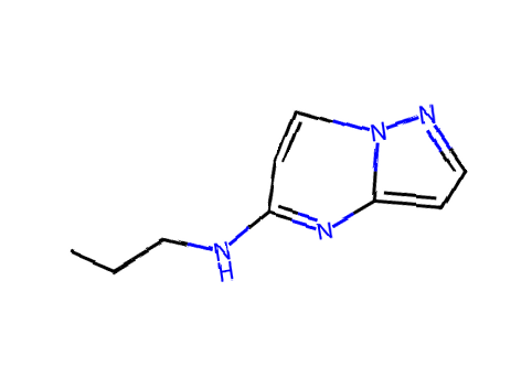 CCCNc1ccn2nccc2n1